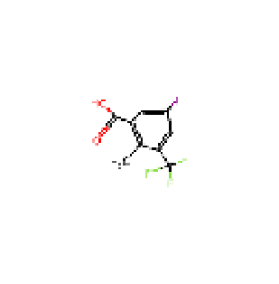 Cc1c(C(=O)O)cc(I)cc1C(F)(F)F